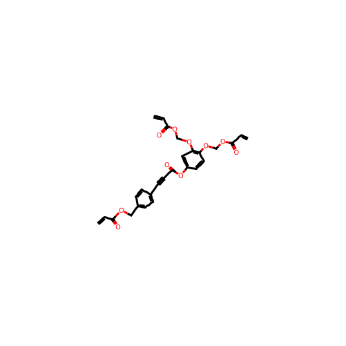 C=CC(=O)OCOc1ccc(OC(=O)C#Cc2ccc(COC(=O)C=C)cc2)cc1OCOC(=O)C=C